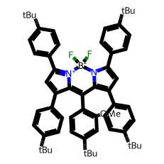 COc1cc(C(C)(C)C)ccc1C1=C2C(c3ccc(C(C)(C)C)cc3)=CC(c3ccc(C(C)(C)C)cc3)=[N+]2[B-](F)(F)n2c(-c3ccc(C(C)(C)C)cc3)cc(-c3ccc(C(C)(C)C)cc3)c21